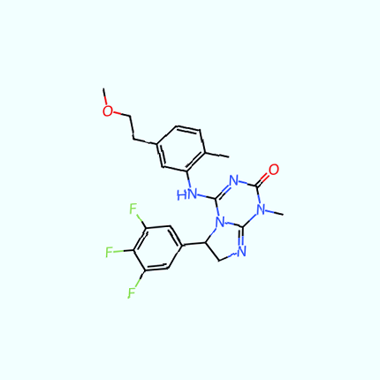 COCCc1ccc(C)c(NC2=NC(=O)N(C)C3=NCC(c4cc(F)c(F)c(F)c4)N23)c1